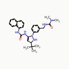 CN(C)C(=O)NCc1cccc(N2NC(C(C)(C)C)C=C2NC(=O)Nc2cccc3ccccc23)c1